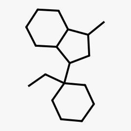 CCC1(C2CC(C)C3CCCCC32)CCCCC1